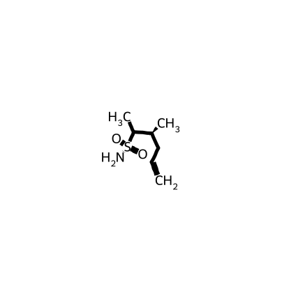 C=CC[C@H](C)C(C)S(N)(=O)=O